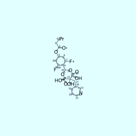 CC(C)CC(=O)Oc1cc(F)c(C2OP(=O)(O)C(O)(Cc3cccnc3)P(=O)(O)O2)c(F)c1